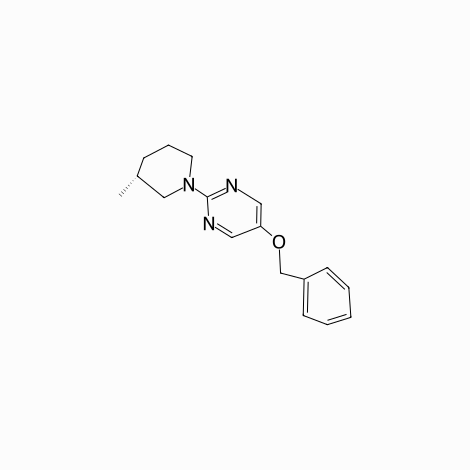 C[C@@H]1CCCN(c2ncc(OCc3ccccc3)cn2)C1